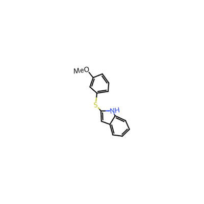 COc1cccc(Sc2cc3ccccc3[nH]2)c1